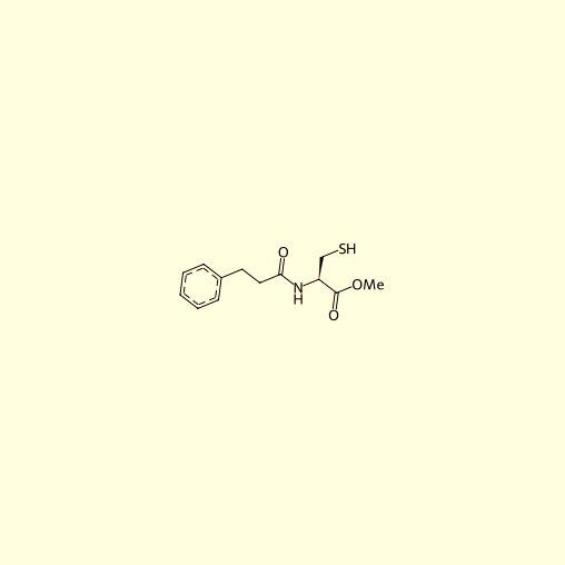 COC(=O)[C@H](CS)NC(=O)CCc1ccccc1